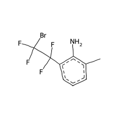 Cc1cccc(C(F)(F)C(F)(F)Br)c1N